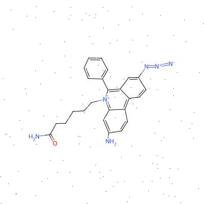 [N-]=[N+]=Nc1ccc2c(c1)c(-c1ccccc1)[n+](CCCCCC(N)=O)c1cc(N)ccc21